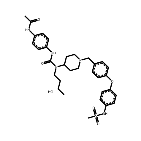 CCCCN(C(=O)Nc1ccc(NC(C)=O)cc1)C1CCN(Cc2ccc(Oc3ccc(NS(C)(=O)=O)cc3)cc2)CC1.Cl